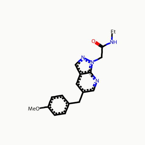 CCNC(=O)Cn1ncc2cc(Cc3ccc(OC)cc3)cnc21